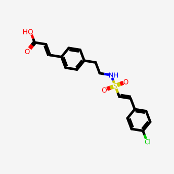 O=C(O)/C=C/c1ccc(CCNS(=O)(=O)/C=C/c2ccc(Cl)cc2)cc1